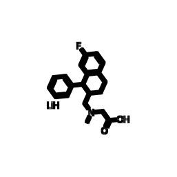 CN(CC(=O)O)CC1CCc2ccc(F)cc2C1c1ccccc1.[LiH]